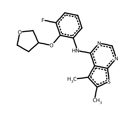 Cc1sc2ncnc(Nc3cccc(F)c3OC3CCOC3)c2c1C